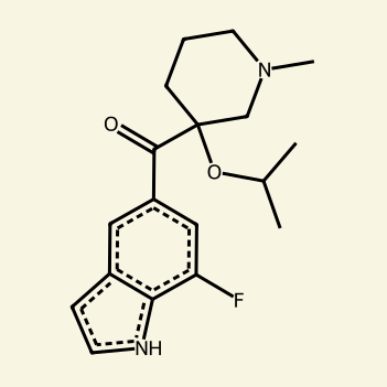 CC(C)OC1(C(=O)c2cc(F)c3[nH]ccc3c2)CCCN(C)C1